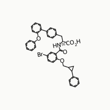 O=C(N[C@@H](Cc1ccc(-c2ccccc2Oc2ccccc2)cc1)C(=O)O)c1cc(Br)ccc1OCC1CC1c1ccccc1